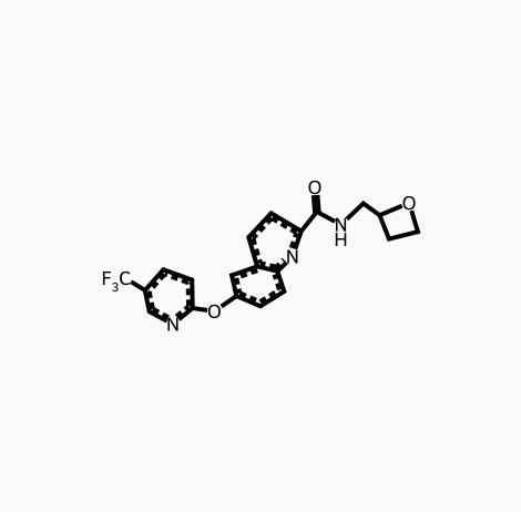 O=C(NCC1CCO1)c1ccc2cc(Oc3ccc(C(F)(F)F)cn3)ccc2n1